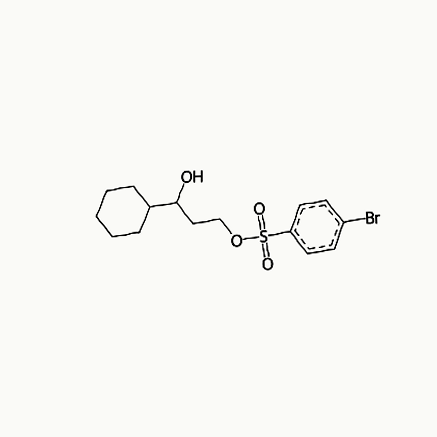 O=S(=O)(OCCC(O)C1CCCCC1)c1ccc(Br)cc1